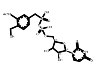 CC(=O)Nc1cc(CP(=O)(O)OP(=O)(O)OC[C@H]2O[C@@H](n3ccc(=O)[nH]c3=O)[C@@H](O)C2O)ccc1CO